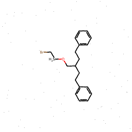 BrC[SiH2]OCC(CCc1ccccc1)CCc1ccccc1